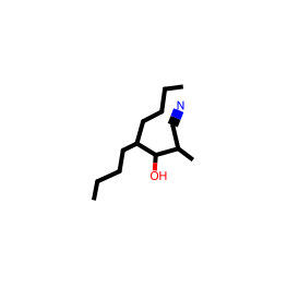 CCCCC(CCCC)C(O)C(C)C#N